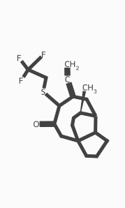 C=C=C1CC2C3CCCC3(CC[C@H]2C)CC(=O)C1SCC(F)(F)F